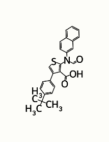 CC(C)(C)c1ccc(-c2csc(N(C=O)c3ccc4ccccc4c3)c2C(=O)O)cc1